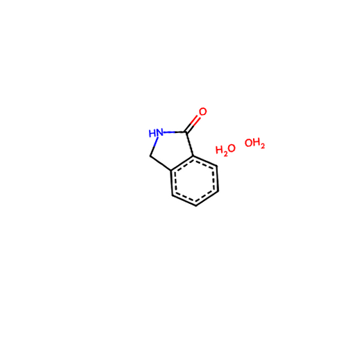 O.O.O=C1NCc2ccccc21